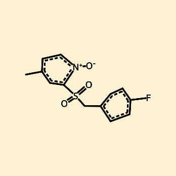 Cc1cc[n+]([O-])c(S(=O)(=O)Cc2ccc(F)cc2)c1